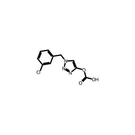 O=C(O)Oc1cn(Cc2cccc(Cl)c2)nn1